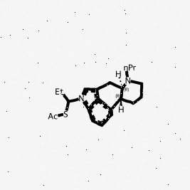 CCCN1CCC[C@@H]2c3cccc4c3c(cn4C(CC)SC(C)=O)C[C@H]21